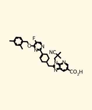 Cc1ccc(COc2nc(C3=CCC(Cc4nc5cc(C(=O)O)cnc5n4CC(C)(C)C#N)CC3)ncc2F)c(C)c1